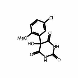 COc1ccc(Cl)cc1C1(O)C(=O)NC(=O)NC1=O